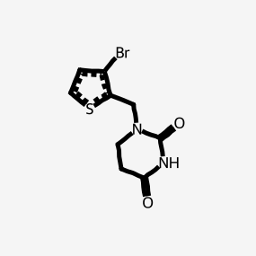 O=C1CCN(Cc2sccc2Br)C(=O)N1